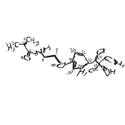 C=C(C)C(=O)NCCOc1ccc(C(=O)C(C)(C)O)cc1